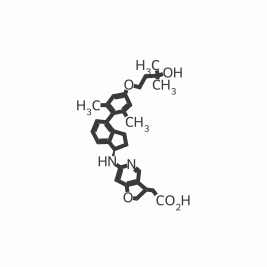 Cc1cc(OCCC(C)(C)O)cc(C)c1-c1cccc2c1CC[C@H]2Nc1cc2c(cn1)C(CC(=O)O)CO2